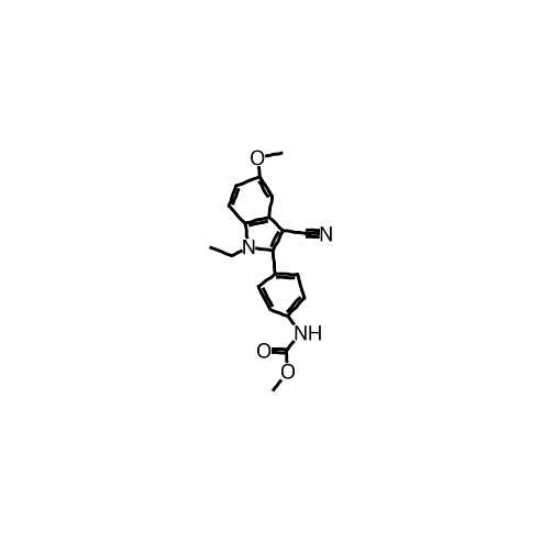 CCn1c(-c2ccc(NC(=O)OC)cc2)c(C#N)c2cc(OC)ccc21